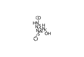 CC(C)(CO)Nc1nc(SCc2ccccc2)nc2nc(NCC3CCCO3)sc12